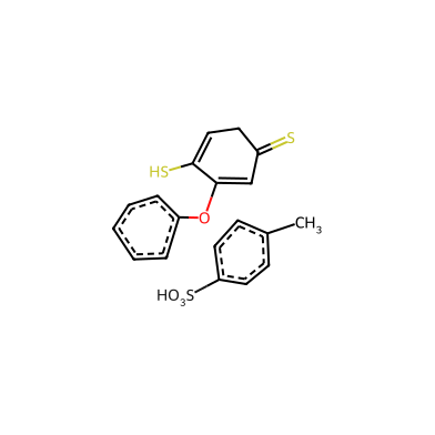 Cc1ccc(S(=O)(=O)O)cc1.S=C1C=C(Oc2ccccc2)C(S)=CC1